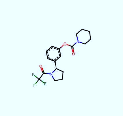 O=C(Oc1cccc([C@H]2CCCN2C(=O)C(F)(F)F)c1)N1CCCCC1